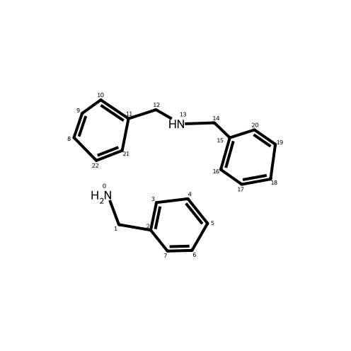 NCc1ccccc1.c1ccc(CNCc2ccccc2)cc1